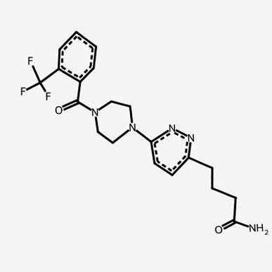 NC(=O)CCCc1ccc(N2CCN(C(=O)c3ccccc3C(F)(F)F)CC2)nn1